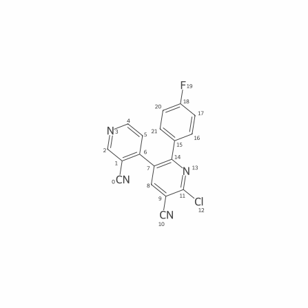 N#Cc1cnccc1-c1cc(C#N)c(Cl)nc1-c1ccc(F)cc1